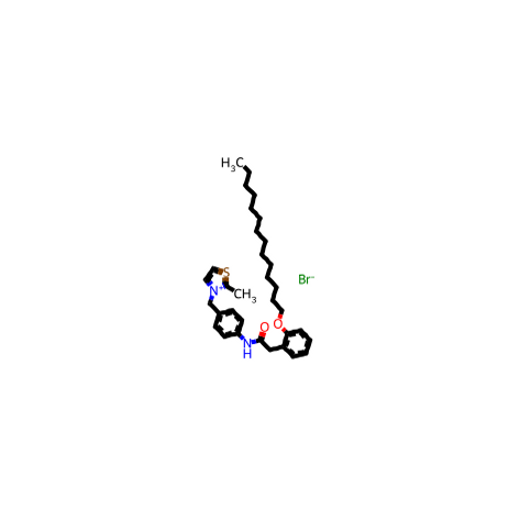 CCCCCCCCCCCCCCOc1ccccc1CC(=O)Nc1ccc(C[n+]2ccsc2C)cc1.[Br-]